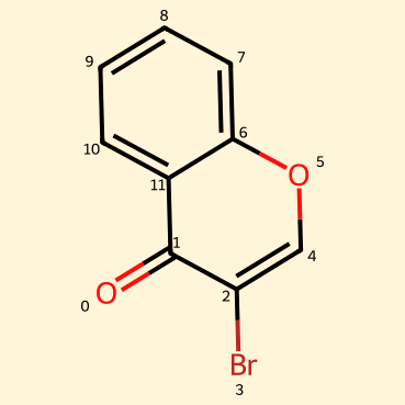 O=c1c(Br)coc2ccccc12